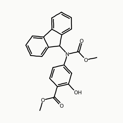 COC(=O)c1ccc(N(C(=O)OC)C2c3ccccc3-c3ccccc32)cc1O